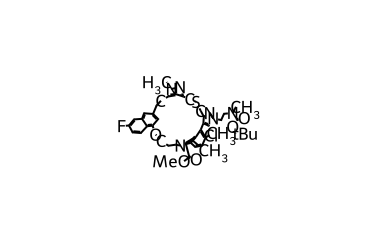 COC(=O)c1c(C)c2c3c(Cl)ccc2n1CCCOc1cc(cc2cc(F)ccc12)CCc1cc(nn1C)CSCc1nn(CCN(C)C(=O)OC(C)(C)C)c(C)c1-3